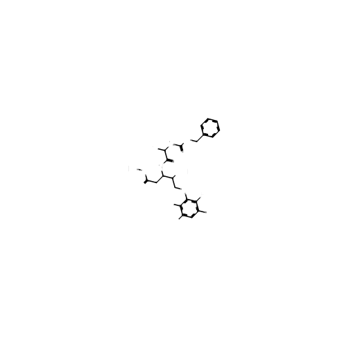 CC(C)C(NC(=O)OCc1ccccc1)C(=O)NC(CC(=O)OC(C)(C)C)C(O)COc1c(F)c(F)cc(F)c1F